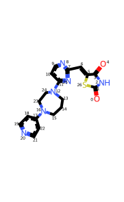 O=C1NC(=O)C(=Cc2nccc(N3CCCN(c4ccncc4)CC3)n2)S1